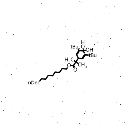 CCCCCCCCCCCCCCCCCCOC(=O)C(C)(C)C1C=C(C(C)(C)C)C(O)(O)C(C(C)(C)C)=C1